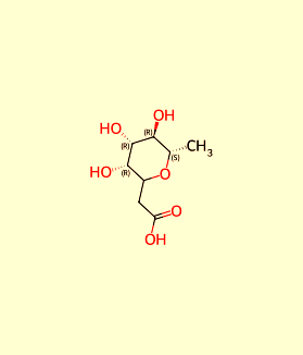 C[C@@H]1OC(CC(=O)O)[C@H](O)[C@H](O)[C@H]1O